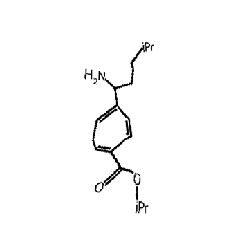 CC(C)CCC(N)c1ccc(C(=O)OC(C)C)cc1